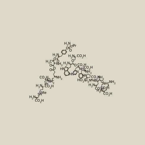 CC(C)C[C@H](N)C(=O)O.CC(C)[C@H](N)C(=O)Oc1ccc(C[C@H](N)C(=O)O[C@H](C)[C@H](N)C(=O)OC(=O)CC[C@H](N)C(=O)O)cc1.CC[C@H](C)[C@H](N)C(=O)O.CSCC[C@H](N)C(=O)O.NC(=O)CC[C@H](N)C(=O)O.NCC(=O)O.NCCCC[C@H](N)C(=O)O.N[C@@H](COC(=O)[C@@H](N)Cc1c[nH]c2ccccc12)C(=O)O.N[C@@H](CS)C(=O)O.N[C@@H](Cc1c[nH]cn1)C(=O)O.N[C@@H](Cc1ccccc1)C(=O)O.O=C(O)[C@@H]1CCCN1